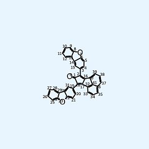 O=C1C(c2ccc3oc4ccccc4c3c2)=C2C(=C1c1ccc3oc4ccccc4c3c1)c1cccc3cccc2c13